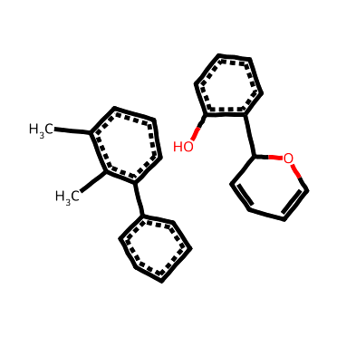 Cc1cccc(-c2ccccc2)c1C.Oc1ccccc1C1C=CC=CO1